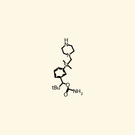 CC(C)(C)C(OC(N)=O)c1cccc([Si](C)(C)CN2CCNCC2)c1